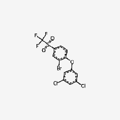 O=S(=O)(c1ccc(Oc2cc(Cl)cc(Cl)c2)c(Br)c1)C(F)(F)F